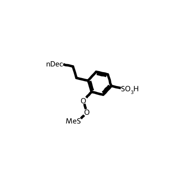 CCCCCCCCCCCCc1ccc(S(=O)(=O)O)cc1OOSC